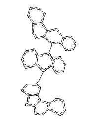 c1ccc2c(-c3c4ccccc4c(-c4ccc5oc6ccc7ccccc7c6c5c4)c4ccccc34)c3ccc4ccccc4c3cc2c1